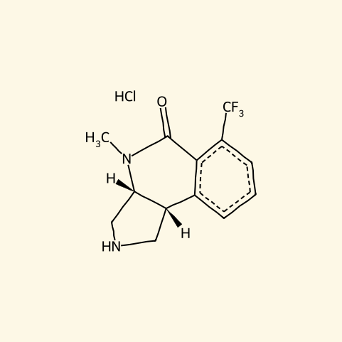 CN1C(=O)c2c(cccc2C(F)(F)F)[C@@H]2CNC[C@@H]21.Cl